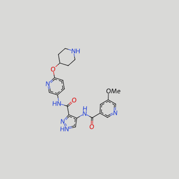 COc1cncc(C(=O)Nc2c[nH]nc2C(=O)Nc2ccc(OC3CCNCC3)nc2)c1